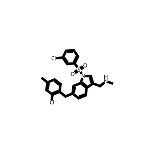 CNCc1cn(S(=O)(=O)c2cccc(Cl)c2)c2cc(Cc3ccc(C)cc3Cl)ccc12